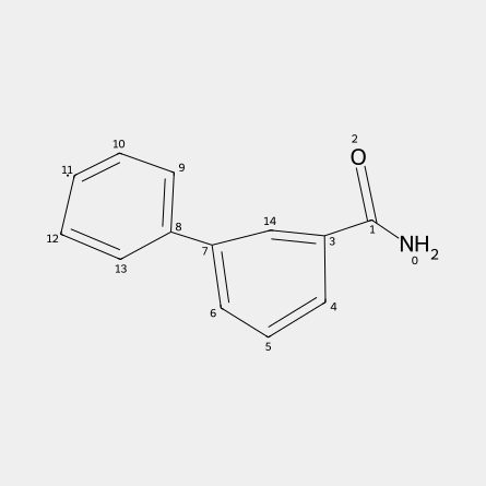 NC(=O)c1cccc(-c2cc[c]cc2)c1